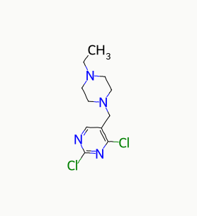 CCN1CCN(Cc2cnc(Cl)nc2Cl)CC1